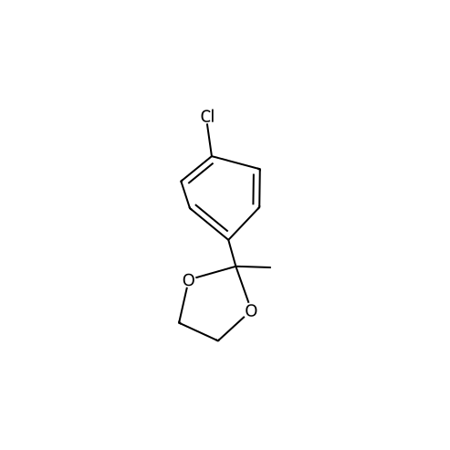 CC1(c2ccc(Cl)cc2)OCCO1